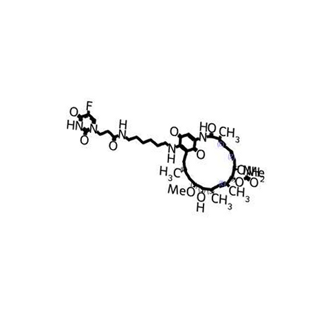 CO[C@H]1/C=C\C=C(/C)C(=O)NC2=CC(=O)C(NCCCCCCNC(=O)CCn3cc(F)c(=O)[nH]c3=O)=C(C[C@@H](C)C[C@H](OC)[C@@H](O)[C@@H](C)/C=C(\C)[C@@H]1OC(N)=O)C2=O